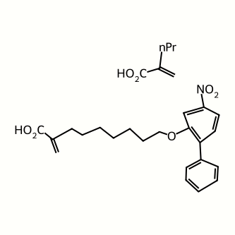 C=C(CCC)C(=O)O.C=C(CCCCCCCOc1cc([N+](=O)[O-])ccc1-c1ccccc1)C(=O)O